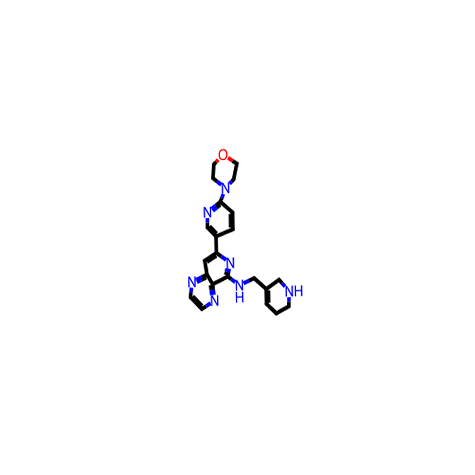 C1=C(CNc2nc(-c3ccc(N4CCOCC4)nc3)cc3nccnc23)CNCC1